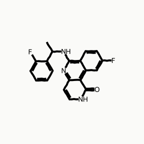 CC(Nc1nc2cc[nH]c(=O)c2c2cc(F)ccc12)c1ccccc1F